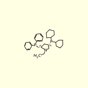 CCN1C[C@@H](P(C2CCCCC2)C2CCCCC2)C[C@H]1CP(c1ccccc1)c1ccccc1